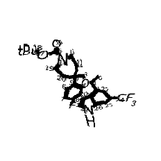 CC(OCC1(c2ccc(F)cc2)CCN(C(=O)OC(C)(C)C)CC1)c1cc(C(F)(F)F)cc2[nH]ccc12